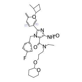 C=C(/C=C\C(=C/C)c1nc(NC=O)c(C(=O)N(CC)CCCOC2CCCCO2)n1Cc1ccc(F)cc1)OC1CCC1C